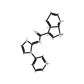 O=C(/N=c1\sccn1-c1cccnc1)c1c[nH]c2ncccc12